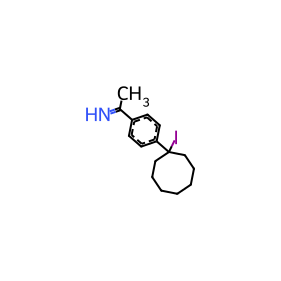 CC(=N)c1ccc(C2(I)CCCCCCC2)cc1